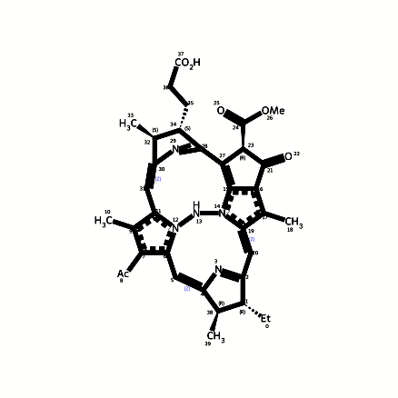 CC[C@H]1C2=NC(=C\c3c(C(C)=O)c(C)c4n3Nn3c5c(c(C)/c3=C/2)C(=O)[C@H](C(=O)OC)C=5C2=N/C(=C\4)[C@@H](C)[C@@H]2CCC(=O)O)/[C@@H]1C